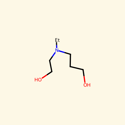 CCN(CCO)CCCO